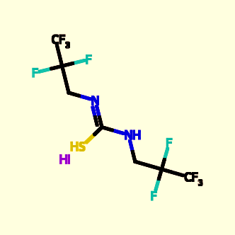 FC(F)(F)C(F)(F)CN=C(S)NCC(F)(F)C(F)(F)F.I